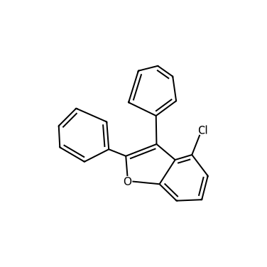 Clc1cccc2oc(-c3ccccc3)c(-c3ccccc3)c12